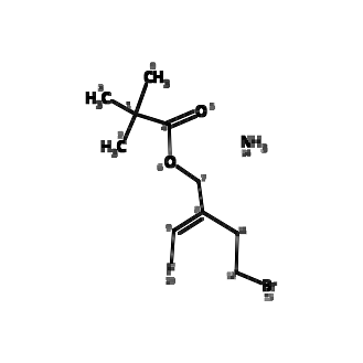 CC(C)(C)C(=O)OCC(=CF)CCBr.N